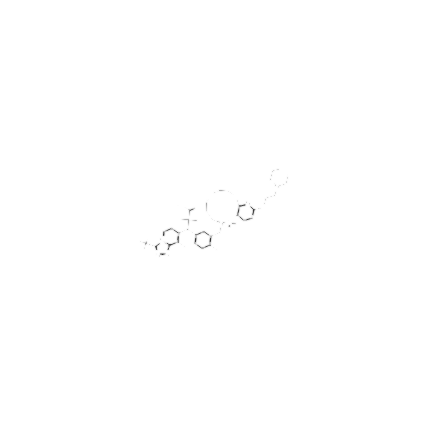 Cc1ccc(C(c2ccn3c(C(F)(F)F)nnc3c2C)C(C)(C)C(=O)O)cc1CN1CCCOCCOc2nc(OCCN3CCOCC3)ccc2S1(=O)=O